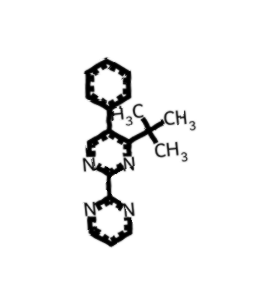 CC(C)(C)c1nc(-c2ncccn2)ncc1-c1ccccc1